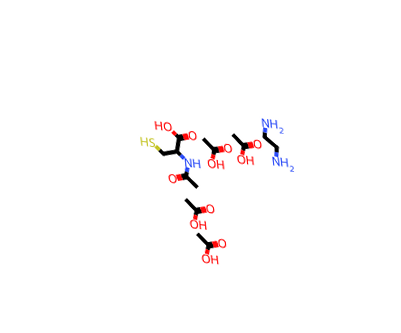 CC(=O)NC(CS)C(=O)O.CC(=O)O.CC(=O)O.CC(=O)O.CC(=O)O.NCCN